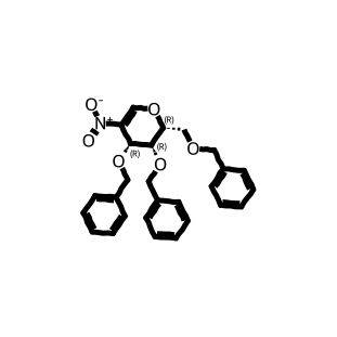 O=[N+]([O-])C1=CO[C@H](COCc2ccccc2)[C@H](OCc2ccccc2)[C@@H]1OCc1ccccc1